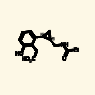 CCC(=O)NC[C@@H]1C[C@H]1c1cccc(O)c1CC(=O)O